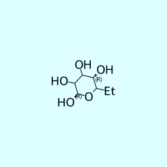 CCC1O[C@@H](O)C(O)C(O)[C@H]1O